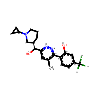 Cc1cc(C(O)[C@@H]2CCCN(C3CC3)C2)nnc1-c1ccc(C(F)(F)F)cc1O